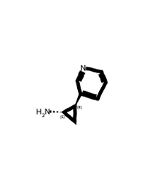 N[C@H]1C[C@@H]1c1cccnc1